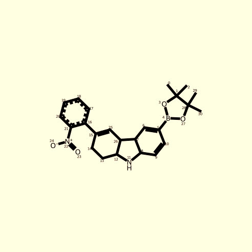 CC1(C)OB(C2=CC3C(C=C2)NC2CCC(c4ccccc4[N+](=O)[O-])=CC23)OC1(C)C